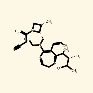 C=C(CC#N)N1C[C@H](C)[C@@H]1CN(CC)C1=C(/C=C\C)C([C@@H](C)[C@H](C)C(C)C)=NCC=N1